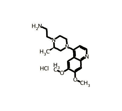 COc1cc2nccc(N3CCN(CCN)[C@H](C)C3)c2cc1OC.Cl